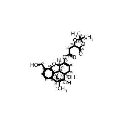 CN1CC[C@]23c4c5ccc(CO)c4O[C@H]2C(OC(=O)CC2OC(C)(C)OC2=O)=CC[C@@]3(O)[C@H]1C5